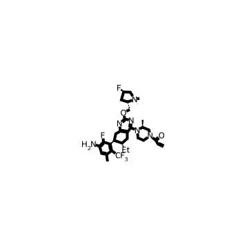 C=CC(=O)N1CCN(c2nc(OC[C@@H]3C[C@@H](F)CN3C)nc3c2C[C@H](CC)[C@@H](c2c(F)c(N)cc(C)c2C(F)(F)F)C3)[C@@H](C)C1